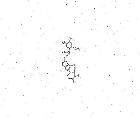 Cc1cc(C)c(NC(=O)OCc2ccc3c(c2)C(=O)N(C2CCC(=O)NC2=O)C3)cc1Cl